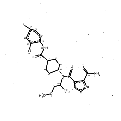 COC[C@H](C)N(C(=O)c1nc[nH]c1C(N)=O)[C@H]1CC[C@H](C(=O)Nc2ccc(F)cc2Cl)CC1